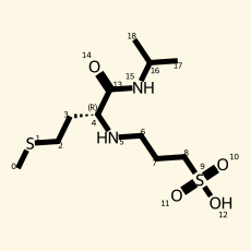 CSCC[C@@H](NCCCS(=O)(=O)O)C(=O)NC(C)C